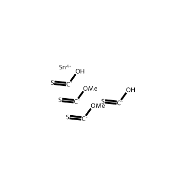 CO[C-]=S.CO[C-]=S.O[C-]=S.O[C-]=S.[Sn+4]